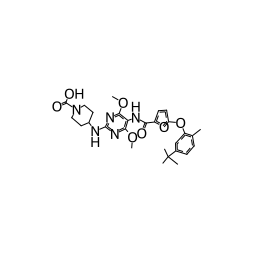 COc1nc(NC2CCN(C(=O)O)CC2)nc(OC)c1NC(=O)c1ccc(Oc2cc(C(C)(C)C)ccc2C)o1